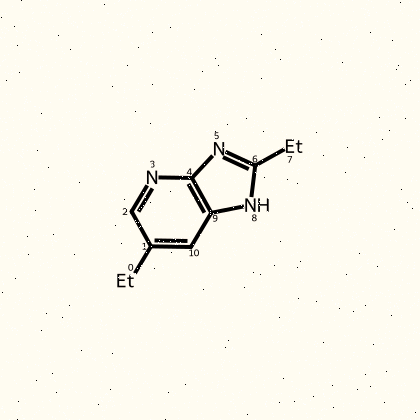 CCc1cnc2nc(CC)[nH]c2c1